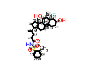 CC[C@H]1[C@@H](O)[C@@H]2[C@H](CC[C@]3(C)[C@@H](C(C)CCC(=O)NS(=O)(=O)c4ccccc4C(F)(F)F)CC[C@@H]23)[C@@]2(C)CC[C@@H](O)[C@H](F)[C@@H]12